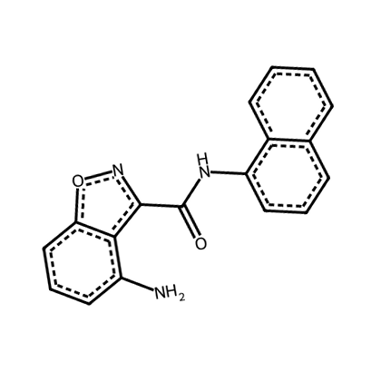 Nc1cccc2onc(C(=O)Nc3cccc4ccccc34)c12